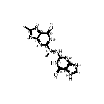 CC1=NC2=NC(N(C)Nc3nc4nc[nH]c4c(=O)[nH]3)=NC(=O)C2=N1